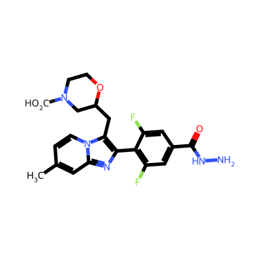 Cc1ccn2c(CC3CN(C(=O)O)CCO3)c(-c3c(F)cc(C(=O)NN)cc3F)nc2c1